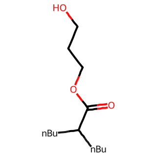 CCCCC(CCCC)C(=O)OCCCO